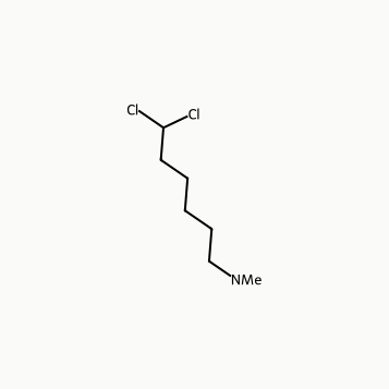 CNCCCCCC(Cl)Cl